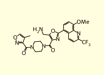 COc1ccc(-c2nc(C(=O)N3CCN(C(=O)c4nocc4C)CC3)c(CN)o2)c2ccc(C(F)(F)F)nc12